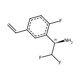 C=Cc1ccc(F)c([C@@H](N)C(F)F)c1